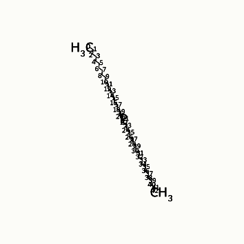 CCCCCCCCCCCCCCCCCCCC=C[P]C=CCCCCCCCCCCCCCCCCCCC